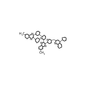 Cc1ccc2nc(-c3ccccc3)c(-c3cccc(-c4cccc(-c5nc6ccc(C)cc6nc5-c5ccc(Cc6cc(-c7ccccc7)c7ccccc7n6)cn5)n4)c3)nc2c1